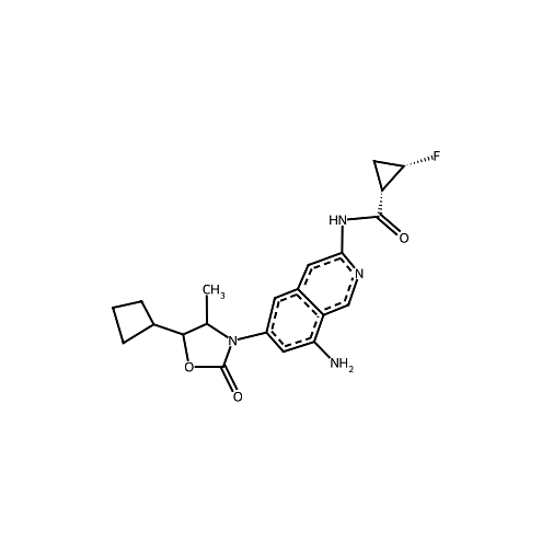 CC1C(C2CCC2)OC(=O)N1c1cc(N)c2cnc(NC(=O)[C@@H]3C[C@@H]3F)cc2c1